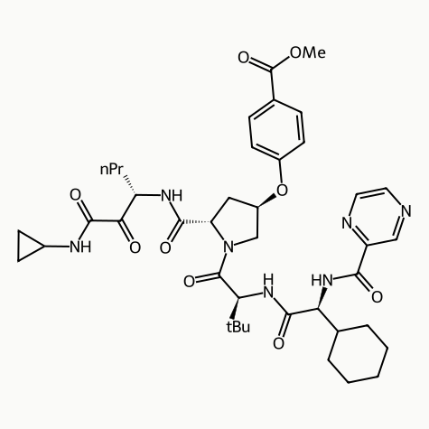 CCC[C@H](NC(=O)[C@@H]1C[C@@H](Oc2ccc(C(=O)OC)cc2)CN1C(=O)[C@@H](NC(=O)[C@@H](NC(=O)c1cnccn1)C1CCCCC1)C(C)(C)C)C(=O)C(=O)NC1CC1